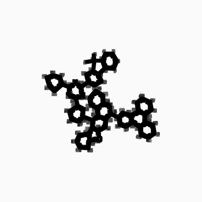 CC1(C)c2ccccc2-c2ccc(-c3nc(-c4ccccc4)nc(-c4cccc(-c5c6c(cc7c(-c8ccc9c%10ccccc%10c%10ccccc%10c9c8)nc8ccccc8c57)oc5ccccc56)c4)n3)cc21